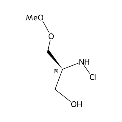 COOC[C@H](CO)NCl